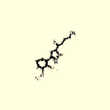 CCCCC(=O)c1cc(-c2cccc(OC)c2N)[nH]n1